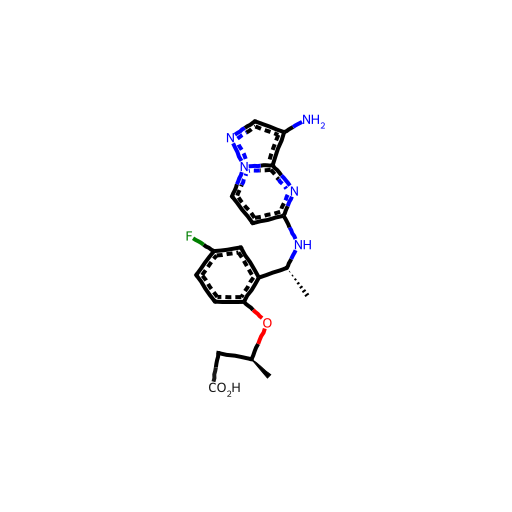 C[C@@H](CC(=O)O)Oc1ccc(F)cc1[C@@H](C)Nc1ccn2ncc(N)c2n1